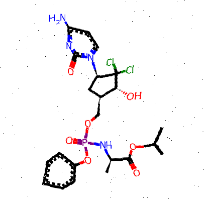 CC(C)OC(=O)[C@@H](C)NP(=O)(OC[C@H]1C[C@@H](n2ccc(N)nc2=O)C(Cl)(Cl)[C@@H]1O)Oc1ccccc1